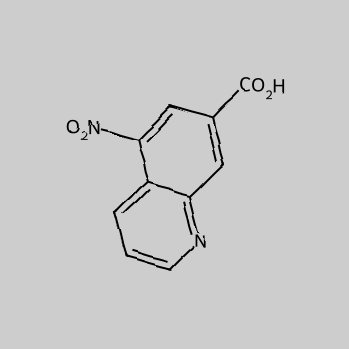 O=C(O)c1cc([N+](=O)[O-])c2cccnc2c1